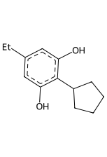 CCc1cc(O)c(C2CCCC2)c(O)c1